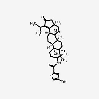 CC(C)C1=C2[C@H]3CC[C@@H]4[C@@]5(C)CCC(NC(=O)c6cc(O)cs6)C(C)(C)[C@@H]5CC[C@@]4(C)[C@]3(C)CC[C@@]2(C)CC1=O